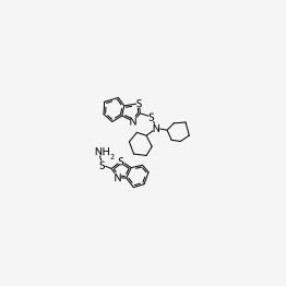 NSc1nc2ccccc2s1.c1ccc2sc(SN(C3CCCCC3)C3CCCCC3)nc2c1